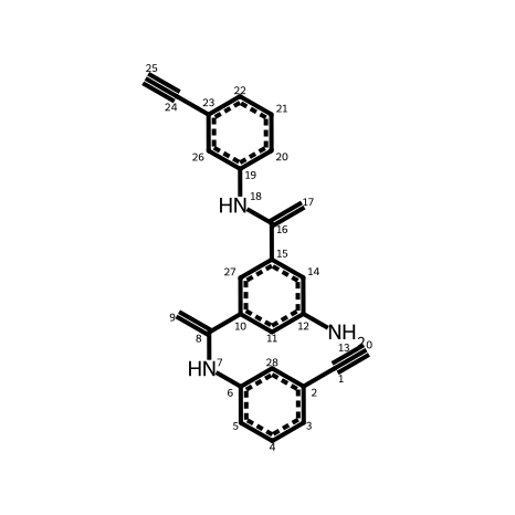 C#Cc1cccc(NC(=C)c2cc(N)cc(C(=C)Nc3cccc(C#C)c3)c2)c1